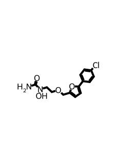 NC(=O)N(O)CCOCc1ccc(-c2ccc(Cl)cc2)o1